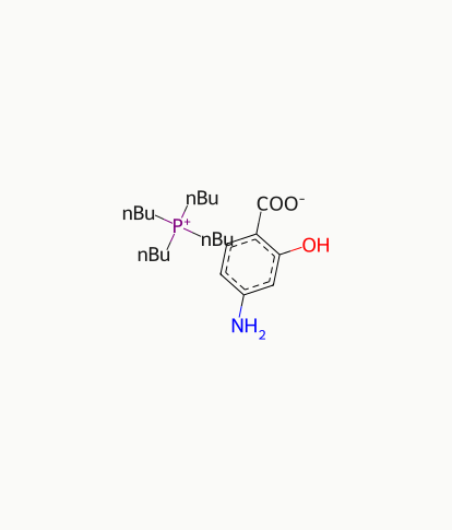 CCCC[P+](CCCC)(CCCC)CCCC.Nc1ccc(C(=O)[O-])c(O)c1